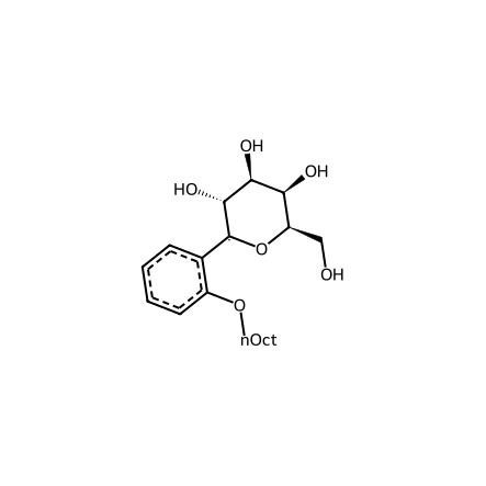 CCCCCCCCOc1ccccc1[C]1O[C@H](CO)[C@H](O)[C@H](O)[C@H]1O